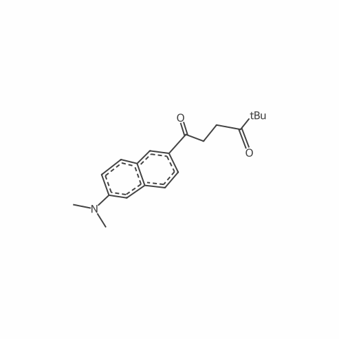 CN(C)c1ccc2cc(C(=O)CCC(=O)C(C)(C)C)ccc2c1